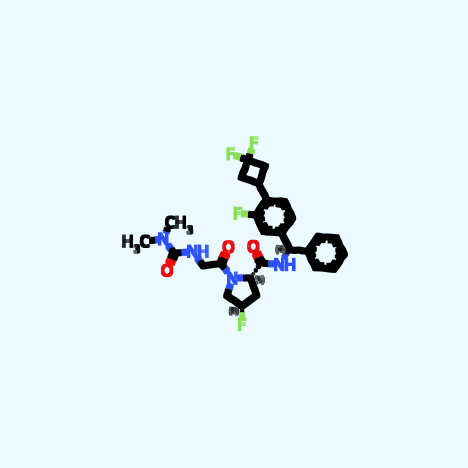 CN(C)C(=O)NCC(=O)N1C[C@H](F)C[C@H]1C(=O)N[C@H](c1ccccc1)c1ccc(C2CC(F)(F)C2)c(F)c1